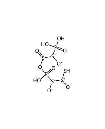 O=S(OP(=O)(O)[S+]([O-])[S+]([O-])S)[S+]([O-])P(=O)(O)O